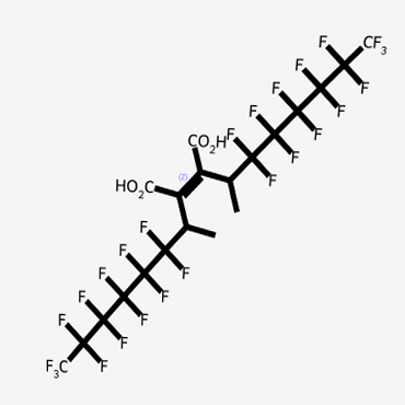 CC(/C(C(=O)O)=C(/C(=O)O)C(C)C(F)(F)C(F)(F)C(F)(F)C(F)(F)C(F)(F)C(F)(F)F)C(F)(F)C(F)(F)C(F)(F)C(F)(F)C(F)(F)C(F)(F)F